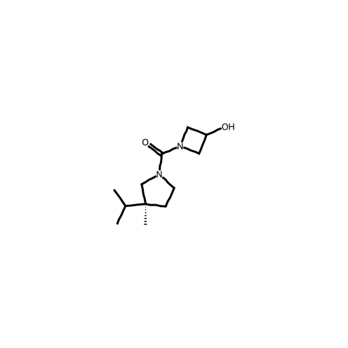 CC(C)[C@]1(C)CCN(C(=O)N2CC(O)C2)C1